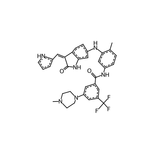 Cc1ccc(NC(=O)c2cc(N3CCN(C)CC3)cc(C(F)(F)F)c2)cc1Nc1ccc2c(c1)NC(=O)C2=Cc1ccc[nH]1